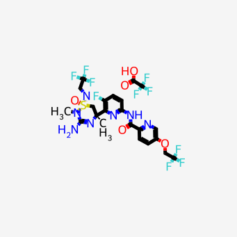 CN1C(N)=N[C@](C)(c2nc(NC(=O)c3ccc(OCC(F)(F)F)cn3)ccc2F)CS1(=O)=NCC(F)(F)F.O=C(O)C(F)(F)F